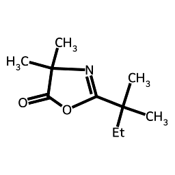 CCC(C)(C)C1=NC(C)(C)C(=O)O1